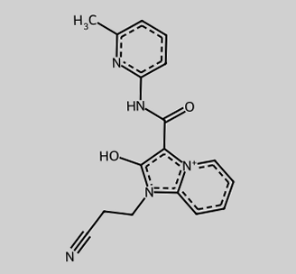 Cc1cccc(NC(=O)c2c(O)n(CCC#N)c3cccc[n+]23)n1